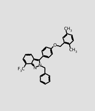 Cc1ccc(C)c(COc2ccc(-c3c4cccc(C(F)(F)F)c4nn3Cc3ccccc3)cc2)c1